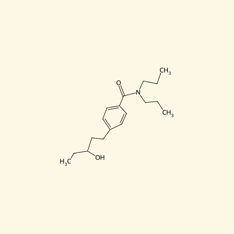 CCCN(CCC)C(=O)c1ccc(CCC(O)CC)cc1